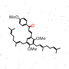 COc1ccc(C(=O)C=Cc2cc(C/C=C(\C)CCC=C(C)C)c(OC)c(C/C=C(\C)CCC=C(C)C)c2OC)cc1